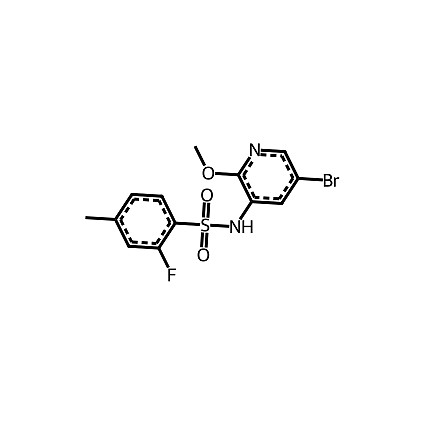 COc1ncc(Br)cc1NS(=O)(=O)c1ccc(C)cc1F